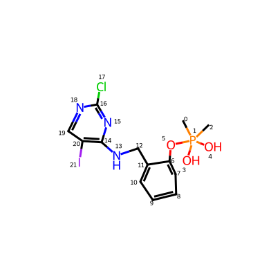 CP(C)(O)(O)Oc1ccccc1CNc1nc(Cl)ncc1I